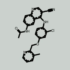 CC(=O)Nc1ccc2ncc(C#N)c(Nc3ccc(OCc4ncccc4C)cc3Cl)c2c1